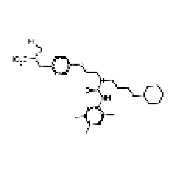 CCOC(Cc1ccc(OCCN(CCCCC2CCCCC2)C(=O)Nc2cc(C)c(C)cc2C)cc1)C(=O)O